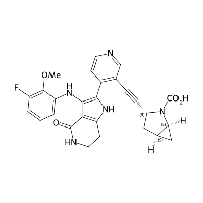 COc1c(F)cccc1Nc1c(-c2ccncc2C#C[C@H]2C[C@@H]3C[C@@H]3N2C(=O)O)[nH]c2c1C(=O)NCC2